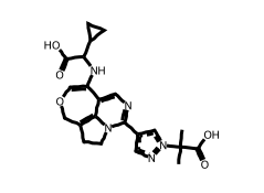 CC(C)(C(=O)O)n1cc(C2=NC=C3C(NC(C(=O)O)C4CC4)=COCC4=C3N2CC4)cn1